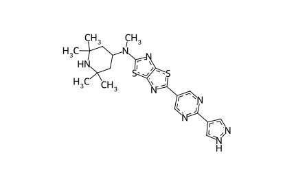 CN(c1nc2sc(-c3cnc(-c4cn[nH]c4)nc3)nc2s1)C1CC(C)(C)NC(C)(C)C1